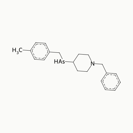 Cc1ccc(C[AsH]C2CCN(Cc3ccccc3)CC2)cc1